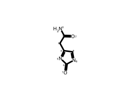 NC(=O)CC1=NC(=O)N=C1